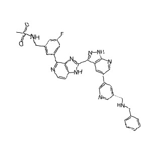 CS(=O)(=O)NCc1cc(F)cc(-c2nccc3[nH]c(-c4n[nH]c5ncc(-c6cncc(CNCc7ccccc7)c6)cc45)nc23)c1